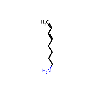 C=CC=CCCCCN